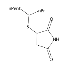 CCCCCC(CCC)SC1CC(=O)NC1=O